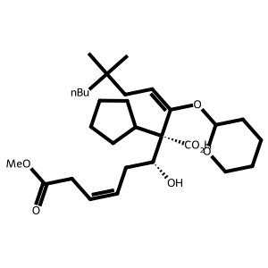 CCCCC(C)(C)C/C=C(/OC1CCCCO1)[C@](C(=O)O)(C1CCCC1)[C@H](O)C/C=C\CC(=O)OC